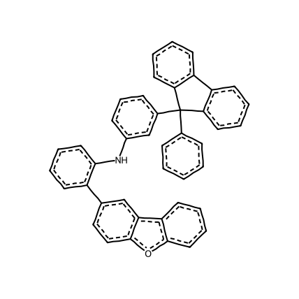 c1ccc(C2(c3cccc(Nc4ccccc4-c4ccc5oc6ccccc6c5c4)c3)c3ccccc3-c3ccccc32)cc1